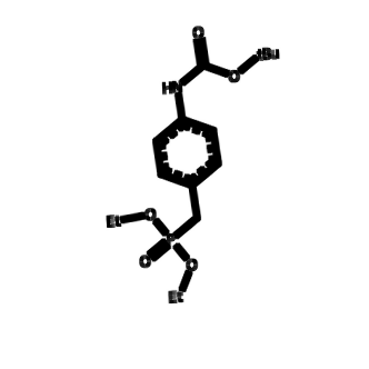 CCOP(=O)(Cc1ccc(NC(=O)OC(C)(C)C)cc1)OCC